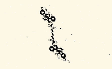 Cc1ccc2c(c1)C(C)(C)C1(/C=C3\C=CN(CC(=O)NCCSSCCNC(=O)CN4C=C/C(=C\C56OCCN5c5ccc(C)cc5C6(C)C)c5ccccc54)c4ccccc43)OCCN21